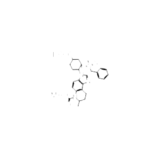 COC(=O)N1c2ccc3c(nc([C@@H](c4ccccc4)S(C)(=O)=O)n3C3CCC(C(=O)O)CC3)c2CCC1C